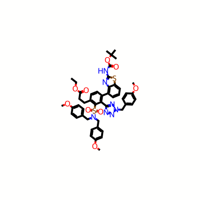 CCOC(=O)CCc1ccc(-c2cccc3sc(NC(=O)OC(C)(C)C)nc23)c(-c2nnn(Cc3ccc(OC)cc3)n2)c1S(=O)(=O)N(Cc1ccc(OC)cc1)Cc1ccc(OC)cc1